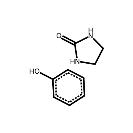 O=C1NCCN1.Oc1ccccc1